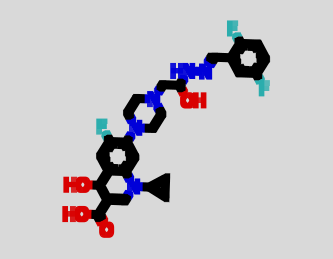 O=C(O)C1=CN(C2CC2)c2cc(N3CCN(CC(O)N/N=C/c4cc(F)ccc4F)CC3)c(F)cc2C1O